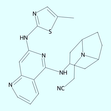 Cc1cnc(Nc2cc3ncccc3c(NC3CC4CCC(C3)N4CCC#N)n2)s1